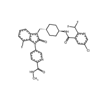 CNC(=O)c1ccc(-n2c(=O)n(C[C@H]3CC[C@H](NC(=O)c4cc(Cl)cnc4C(F)F)CC3)c3cccc(F)c32)cn1